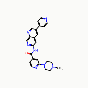 CN1CCN(c2cc(C(=O)Nc3cc4cc(-c5ccncc5)cnc4cn3)ccn2)CC1